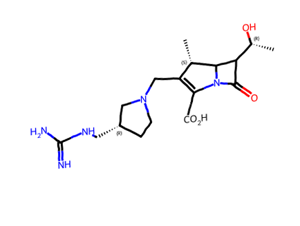 C[C@@H](O)C1C(=O)N2C(C(=O)O)=C(CN3CC[C@H](CNC(=N)N)C3)[C@H](C)C12